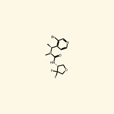 C[C@@H](c1ccncc1Br)N(C)C(=O)N[C@@H]1COCC1(F)F